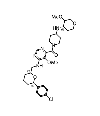 COc1c(NC[C@@H]2CCC[C@H](c3ccc(Cl)cc3)O2)ncnc1C(=O)N1CCC(N[C@H]2CCOCC2OC)CC1